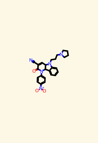 N#CC1=CC2C(c3ccccc3N2CCCN2CCCC2)N(c2ccc([N+](=O)[O-])cc2)C1=O